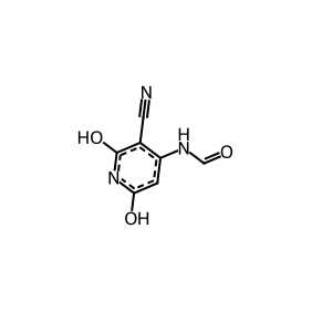 N#Cc1c(NC=O)cc(O)nc1O